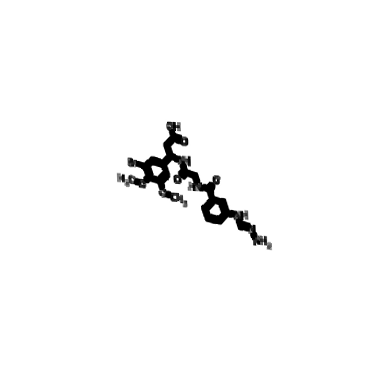 COc1cc(C(CC(=O)O)NC(=O)CNC(=O)c2cccc(NC=NN)c2)cc(Br)c1OC